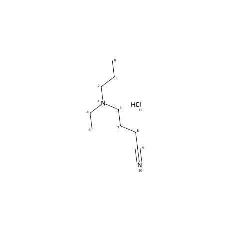 CCCN(CC)CCCC#N.Cl